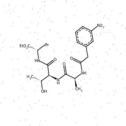 CCOC(=O)[C@@H](NC(=O)[C@@H](NC(=O)[C@H](C)NC(=O)Cc1cccc([N+](=O)[O-])c1)[C@@H](C)O)C(C)C